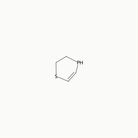 C1=CSCCP1